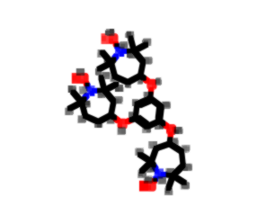 CC1(C)CCC(Oc2cc(OC3CCC(C)(C)N(O)C(C)(C)C3)cc(OC3CCC(C)(C)N(O)C(C)(C)C3)c2)CC(C)(C)N1O